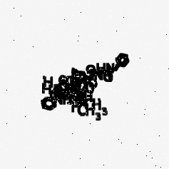 CC1(NC(=O)N[C@H](C(=O)N2C[C@H]3[C@@H]([C@H]2C(=O)NC(CC2CC2)C(=O)C(=O)NCC(=O)NCc2ccccc2)C3(C)C)C(C)(C)C)CCCCC1